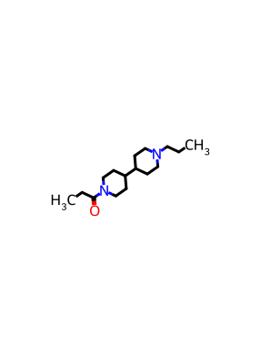 CCCN1CCC(C2CCN(C(=O)CC)CC2)CC1